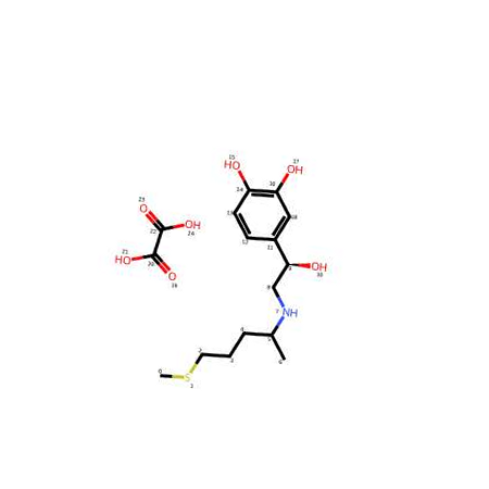 CSCCCC(C)NC[C@H](O)c1ccc(O)c(O)c1.O=C(O)C(=O)O